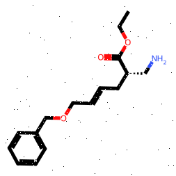 CCOC(=O)[C@H](CN)C/C=C/COCc1ccccc1